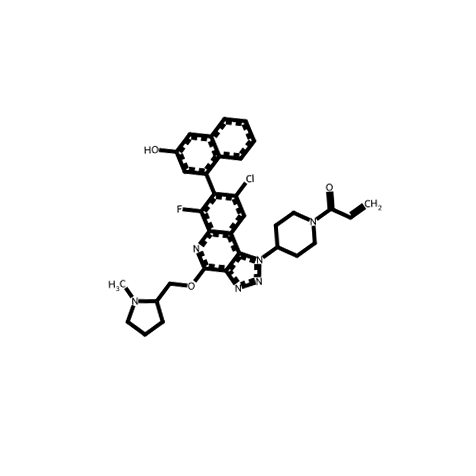 C=CC(=O)N1CCC(n2nnc3c(OCC4CCCN4C)nc4c(F)c(-c5cc(O)cc6ccccc56)c(Cl)cc4c32)CC1